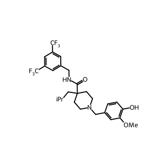 COc1cc(CN2CCC(CC(C)C)(C(=O)NCc3cc(C(F)(F)F)cc(C(F)(F)F)c3)CC2)ccc1O